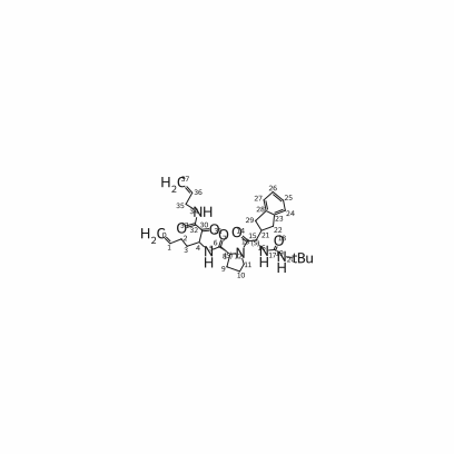 C=CCCC(NC(=O)[C@@H]1CCCN1C(=O)[C@@H](NC(=O)NC(C)(C)C)C1Cc2ccccc2C1)C(=O)C(=O)NCC=C